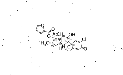 CC(=O)[C@@]1(OC(=O)c2ccco2)[C@H](C)C[C@H]2[C@@H]3CCC4=CC(=O)C(Cl)=C[C@]4(C)[C@H]3[C@@H](O)C[C@@]21C